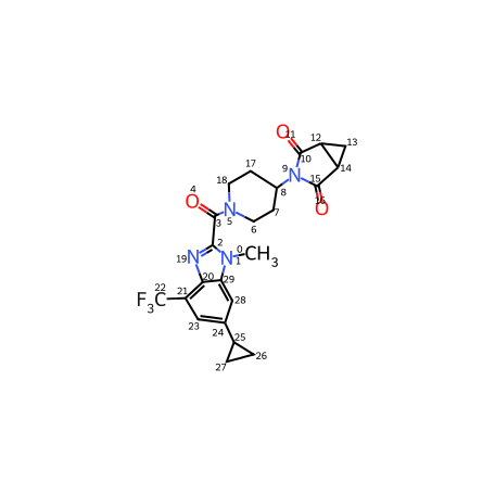 Cn1c(C(=O)N2CCC(N3C(=O)C4CC4C3=O)CC2)nc2c(C(F)(F)F)cc(C3CC3)cc21